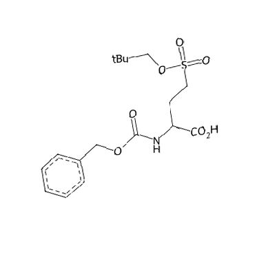 CC(C)(C)COS(=O)(=O)CCC(NC(=O)OCc1ccccc1)C(=O)O